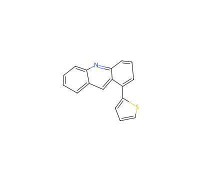 c1csc(-c2cccc3nc4ccccc4cc23)c1